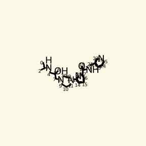 CC(C)NCC(O)CN1CCCN(c2cccc(C(=O)NCc3cccnc3)n2)CC1